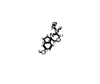 COc1ccc2c(c1)CCC21COCC(N(C)N=O)=N1